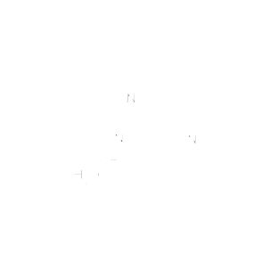 Cn1ccnc1.O.c1ccncc1